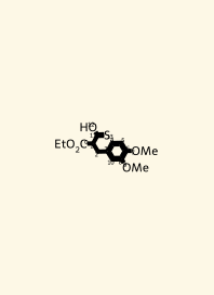 CCOC(=O)C(Cc1ccc(OC)c(OC)c1)C(O)=S